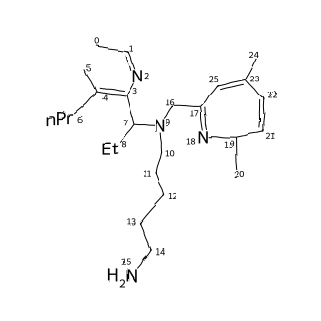 C/C=N\C(=C(/C)CCC)C(CC)N(CCCCCN)CC1=NC(C)C=CC(C)=C1